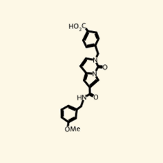 COc1cccc(CNC(=O)c2cc3ccn(Cc4ccc(C(=O)O)cc4)c(=O)n3c2)c1